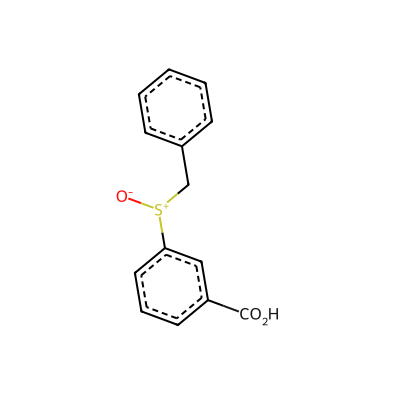 O=C(O)c1cccc([S+]([O-])Cc2ccccc2)c1